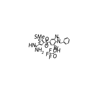 CSc1sc(C(=N)N)cc1S(=O)(=O)c1cc(Br)c2c(c1)ncn2Cc1ccccc1.O=C(O)C(F)(F)F